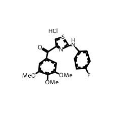 COc1cc(C(=O)c2csc(Nc3ccc(F)cc3)n2)cc(OC)c1OC.Cl